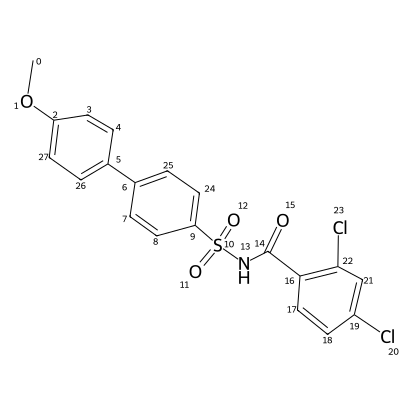 COc1ccc(-c2ccc(S(=O)(=O)NC(=O)c3ccc(Cl)cc3Cl)cc2)cc1